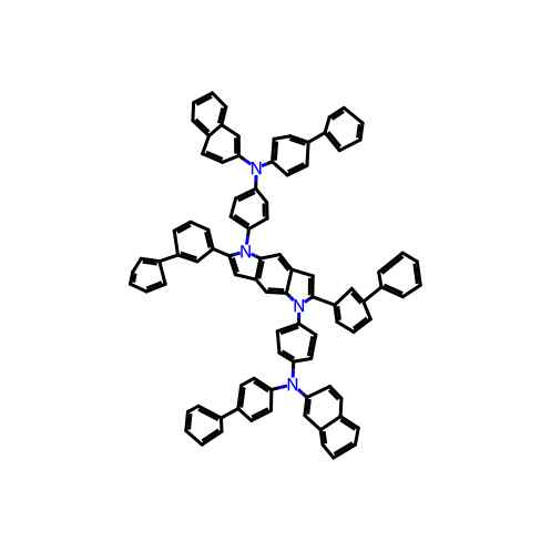 c1ccc(-c2ccc(N(c3ccc(-n4c(-c5cccc(-c6ccccc6)c5)cc5cc6c(cc(-c7cccc(-c8ccccc8)c7)n6-c6ccc(N(c7ccc(-c8ccccc8)cc7)c7ccc8ccccc8c7)cc6)cc54)cc3)c3ccc4ccccc4c3)cc2)cc1